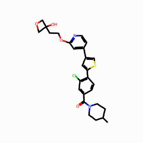 CC1CCN(C(=O)c2ccc(-c3cc(-c4ccnc(OCCC5(O)COC5)c4)cs3)c(Cl)c2)CC1